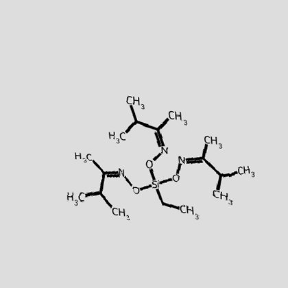 CC[Si](ON=C(C)C(C)C)(ON=C(C)C(C)C)ON=C(C)C(C)C